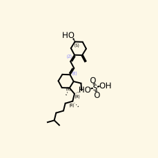 C=C1CC[C@H](O)C/C1=C/C=C1\CCC[C@@]2(C)C1CC[C@@H]2[C@H](C)CCCC(C)C.O=S(=O)(O)O